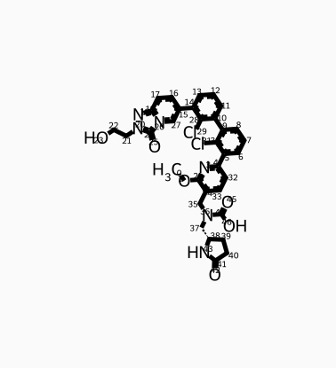 COc1nc(-c2cccc(-c3cccc(-c4ccc5nn(CCO)c(=O)n5c4)c3Cl)c2Cl)ccc1CN(C[C@@H]1CCC(=O)N1)C(=O)O